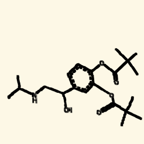 CC(C)NCC(O)c1ccc(OC(=O)C(C)(C)C)c(OC(=O)C(C)(C)C)c1